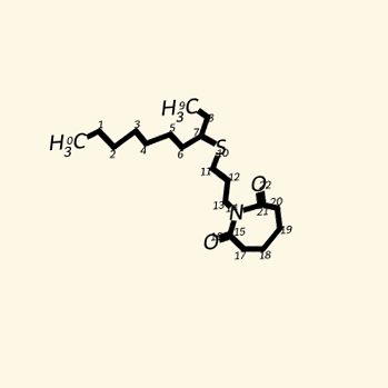 CCCCCCCC(CC)SCCCN1C(=O)CCCCC1=O